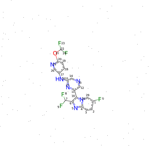 Fc1ccc2nc(C(F)F)c(-c3cncc(Nc4ccc(OC(F)F)nc4)n3)n2c1